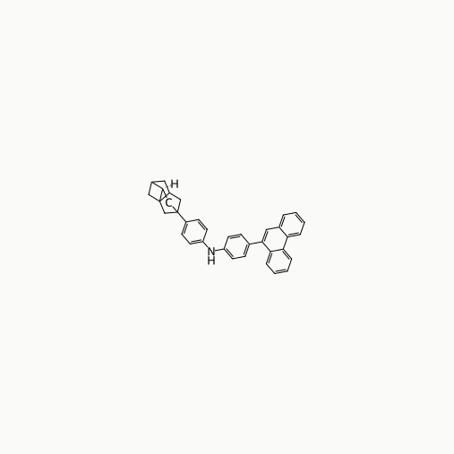 c1ccc2c(c1)cc(-c1ccc(Nc3ccc(C45CC6CC7CC6(C4)[C@@H]7C5)cc3)cc1)c1ccccc12